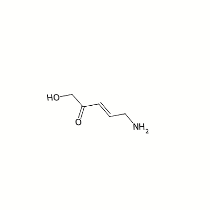 NCC=CC(=O)CO